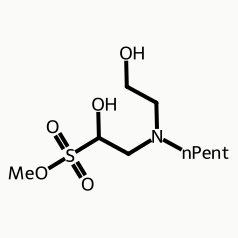 CCCCCN(CCO)CC(O)S(=O)(=O)OC